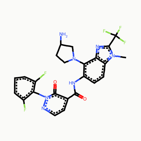 Cn1c(C(F)(F)F)nc2c(N3CCC(N)C3)c(NC(=O)c3ccnn(-c4c(F)cccc4F)c3=O)ccc21